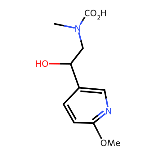 COc1ccc(C(O)CN(C)C(=O)O)cn1